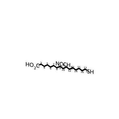 CC#N.O=C(O)CCCCCCCCCCCCCCCS